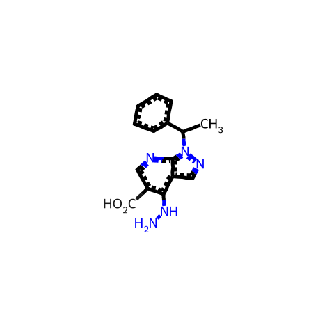 CC(c1ccccc1)n1ncc2c(NN)c(C(=O)O)cnc21